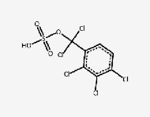 O=S(=O)(O)OC(Cl)(Cl)c1ccc(Cl)c(Cl)c1Cl